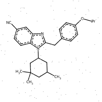 CC1CC(n2c(Cc3ccc(OC(C)C)cc3)nc3cc(C#N)ccc32)CC(C)(C)C1